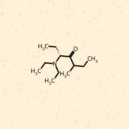 CCC(C)C(=O)[C@@H](CC)N(CC)CC